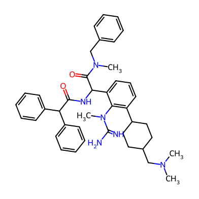 CN(C)CC1CCC(c2cccc(C(NC(=O)C(c3ccccc3)c3ccccc3)C(=O)N(C)Cc3ccccc3)c2N(C)C(=N)N)CC1